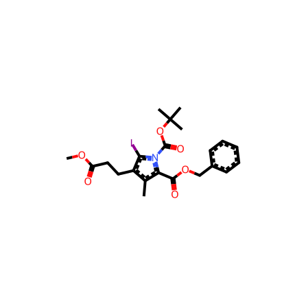 COC(=O)CCc1c(C)c(C(=O)OCc2ccccc2)n(C(=O)OC(C)(C)C)c1I